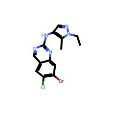 CCn1ncc(Nc2ncc3cc(Cl)c(Br)cc3n2)c1C